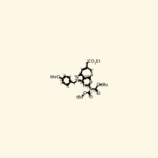 CCOC(=O)CC1=Cc2nn(Cc3ccc(OC)cc3)c3nc(N(C(=O)OC(C)(C)C)C(=O)OC(C)(C)C)nc(c23)SC1